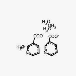 O.O.O.O.O=C([O-])c1cccnc1.O=C([O-])c1cccnc1.[Fe+2]